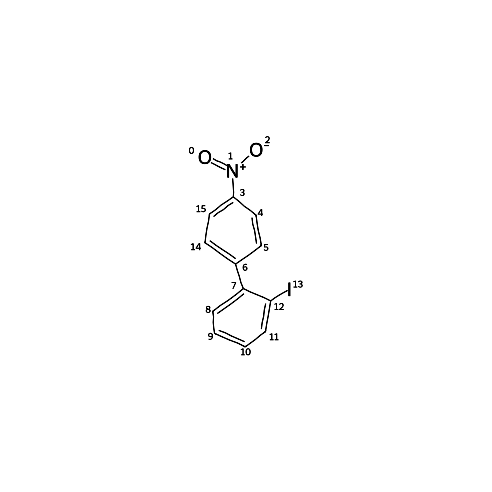 O=[N+]([O-])c1ccc(-c2ccccc2I)cc1